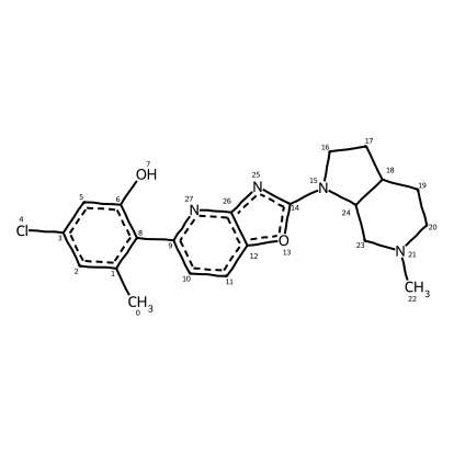 Cc1cc(Cl)cc(O)c1-c1ccc2oc(N3CCC4CCN(C)CC43)nc2n1